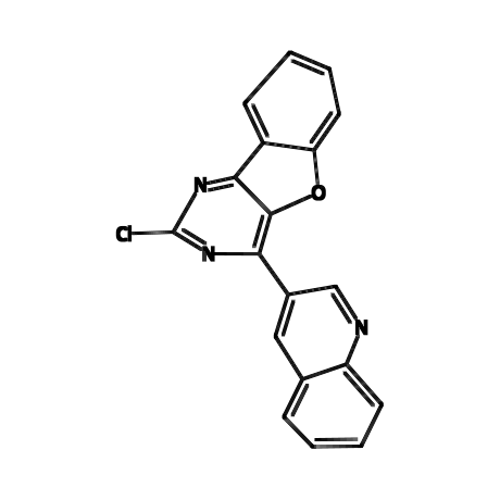 Clc1nc(-c2cnc3ccccc3c2)c2oc3ccccc3c2n1